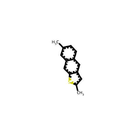 Cc1ccc2cc3cc(C)sc3cc2c1